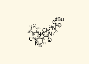 CC(C)(C)OC(=O)N1CCN(C(=O)c2c(Cl)n(-c3ccccc3)c3c(Cl)nccc23)CC1